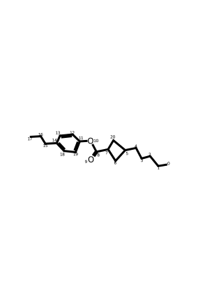 CCCCCC1CC(C(=O)Oc2ccc(CCC)cc2)C1